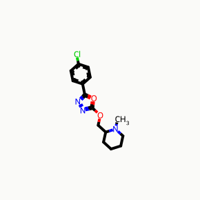 CN1CCCCC1COc1nnc(-c2ccc(Cl)cc2)o1